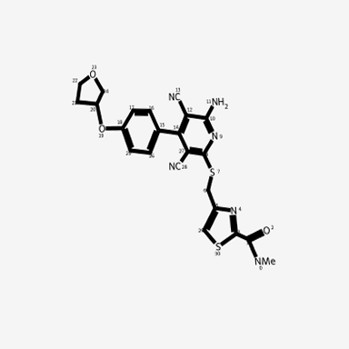 CNC(=O)c1nc(CSc2nc(N)c(C#N)c(-c3ccc(OC4CCOC4)cc3)c2C#N)cs1